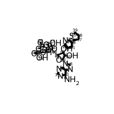 Nc1ncnc2c1ncn2[C@@H]1O[C@H](COP(=O)(O)OP(=O)(O)OP(=O)(O)O)[C@@H](O)[C@H]1O.c1ccncc1.c1ccsc1